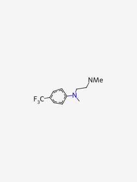 CNCCN(C)c1ccc(C(F)(F)F)cc1